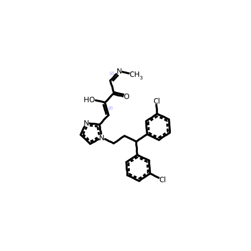 C/N=C\C(=O)/C(O)=C/c1nccn1CCC(c1cccc(Cl)c1)c1cccc(Cl)c1